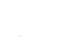 CCOC(=O)O[C@H]1CN(C2CCN(C)CC2)CCN1